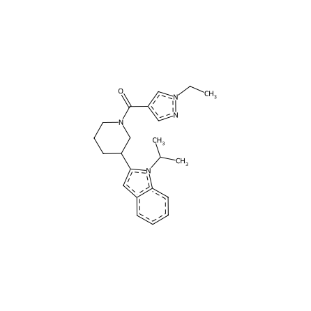 CCn1cc(C(=O)N2CCCC(c3cc4ccccc4n3C(C)C)C2)cn1